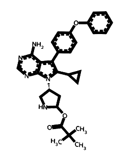 CC(C)(C)C(=O)OC1C[C@@H](n2c(C3CC3)c(-c3ccc(Oc4ccccc4)cc3)c3c(N)ncnc32)CN1